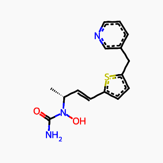 C[C@H](C=Cc1ccc(Cc2cccnc2)s1)N(O)C(N)=O